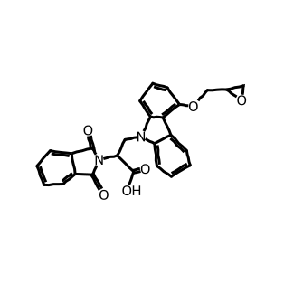 O=C(O)C(Cn1c2ccccc2c2c(OCC3CO3)cccc21)N1C(=O)c2ccccc2C1=O